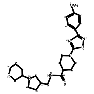 COc1ccc(-c2noc(N3CCC(C(=O)NCC4CCN(C5CCCOC5)C4)CC3)n2)cc1